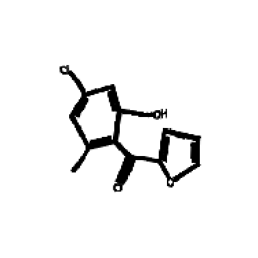 Cc1cc(Cl)cc(O)c1C(=O)c1ccco1